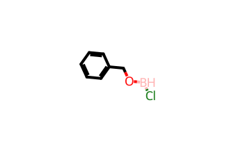 ClBOCc1ccccc1